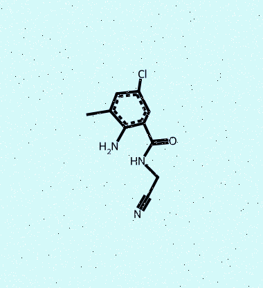 Cc1cc(Cl)cc(C(=O)NCC#N)c1N